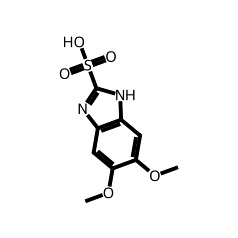 COc1cc2nc(S(=O)(=O)O)[nH]c2cc1OC